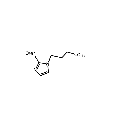 O=Cc1nccn1CCCC(=O)O